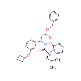 CC(C)C[C@@H](C(=O)NC(CC(=O)OCc1ccccc1)c1cccc(OC2CCC2)c1)n1ccccc1=O